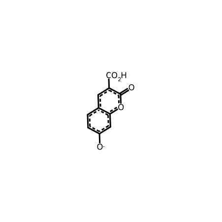 [O]c1ccc2cc(C(=O)O)c(=O)oc2c1